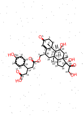 C[C@]12CCC(=O)C=C1[C@H](COC(=O)CC(CC(=O)O)c1ccc(O)cc1)C[C@@H]1[C@@H]2[C@@H](O)C[C@@]2(C)[C@H]1CC[C@]2(O)C(=O)CO